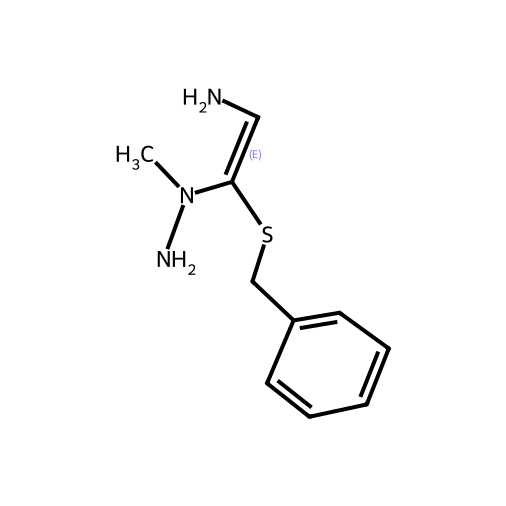 CN(N)/C(=C\N)SCc1ccccc1